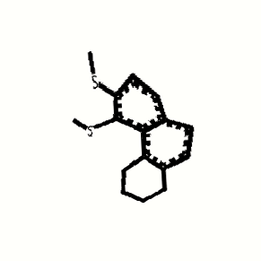 CSc1ccc2ccc3c(c2c1SC)CCCC3